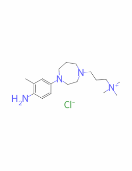 Cc1cc(N2CCCN(CCC[N+](C)(C)C)CC2)ccc1N.[Cl-]